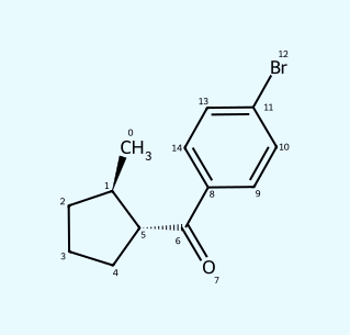 C[C@@H]1CCC[C@H]1C(=O)c1ccc(Br)cc1